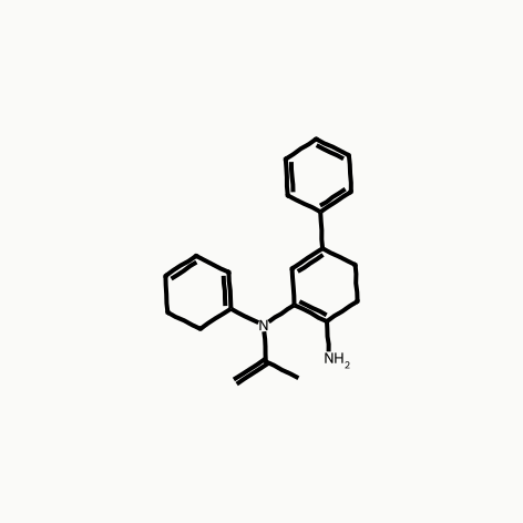 C=C(C)N(C1=CC=CCC1)C1=C(N)CCC(c2ccccc2)=C1